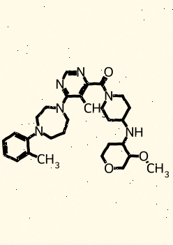 COC1COCCC1NC1CCN(C(=O)c2ncnc(N3CCCN(c4ccccc4C)CC3)c2C)CC1